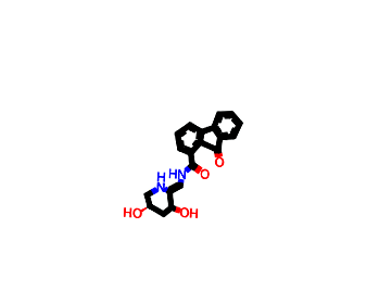 O=C(N/C=C1\NC[C@@H](O)CC1O)c1cccc2c1C(=O)c1ccccc1-2